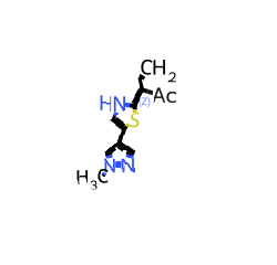 C=C/C(C(C)=O)=C1\NC=C(c2cnn(C)c2)S1